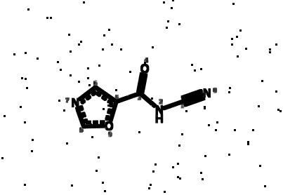 N#CNC(=O)c1cnco1